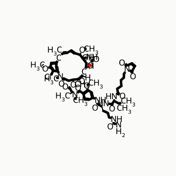 COc1cc(NC(=O)[C@H](CCCNC(N)=O)NC(=O)[C@@H](NC(=O)CCCCCN2C(=O)C=CC2=O)C(C)C)ccc1C(=O)N(C)[C@@H](C)C(=O)O[C@H]1CC(=O)N(C)c2cc(cc(OC)c2Cl)C/C(C)=C/C=C/[C@@H](OC)[C@@]2(O)C[C@@H](C[C@@H]3O[C@@]13C)OC(=O)N2